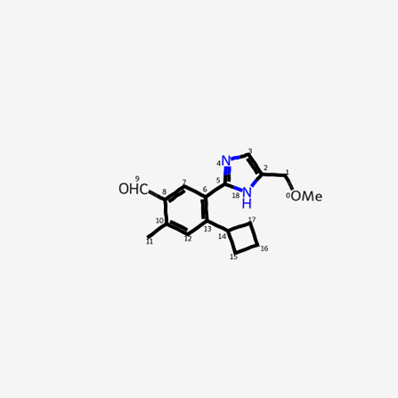 COCc1cnc(-c2cc(C=O)c(C)cc2C2CCC2)[nH]1